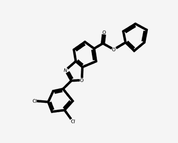 O=C(Oc1ccccc1)c1ccc2nc(-c3cc(Cl)cc(Cl)c3)oc2c1